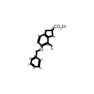 CCOC(=O)C1Cc2ccc(OCc3ccccc3)c(F)c2C1